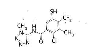 Cc1c(Cl)c(C(=O)Nc2nnnn2C)cc(S)c1C(F)(F)F